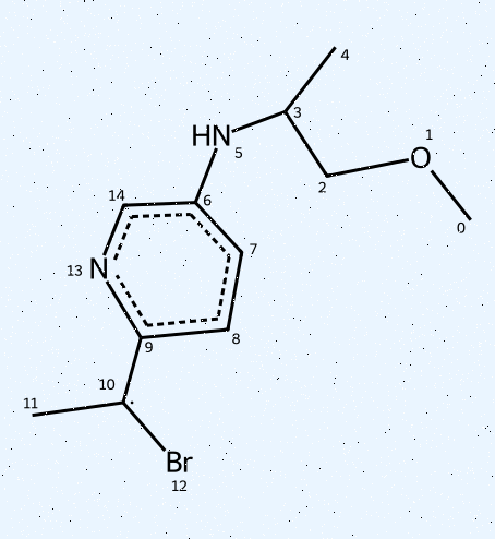 COCC(C)Nc1ccc([C](C)Br)nc1